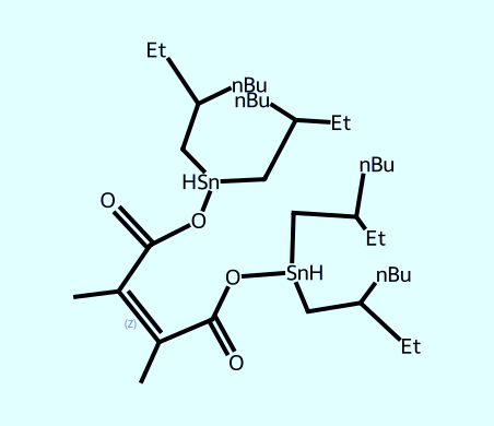 CCCCC(CC)[CH2][SnH]([CH2]C(CC)CCCC)[O]C(=O)/C(C)=C(/C)C(=O)[O][SnH]([CH2]C(CC)CCCC)[CH2]C(CC)CCCC